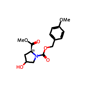 COC(=O)[C@@H]1CC(O)CN1C(=O)OCc1ccc(OC)cc1